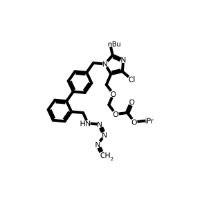 C=N/N=N\NCc1ccccc1-c1ccc(Cn2c(CCCC)nc(Cl)c2COCOC(=O)OC(C)C)cc1